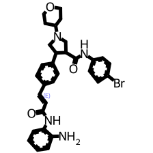 Nc1ccccc1NC(=O)/C=C/c1ccc(C2CN(C3CCOCC3)CC2C(=O)Nc2ccc(Br)cc2)cc1